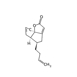 C=CCC[C@@H]1CC2=CC(=O)O[C@@]23CC=CC[C@H]13